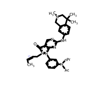 C/C=C\Cn1c(=O)c2cnc(Nc3ccc4c(c3)CN(C)CC4(C)C)nc2n1-c1cccc(N(CCC)C(C)=O)c1